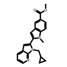 COC(=O)c1ccc2c(c1)cc(-c1cc3cccnc3n1CC1CC1)n2C